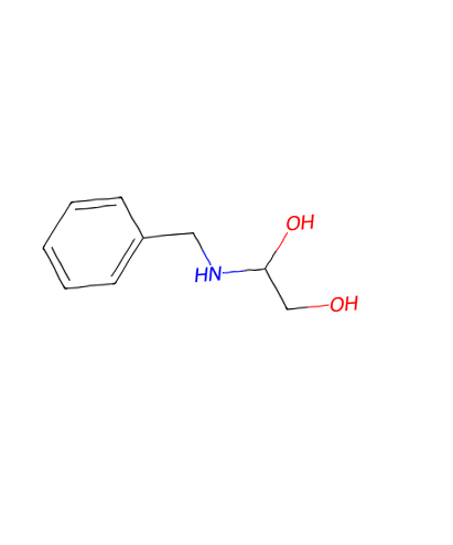 OCC(O)NCc1ccccc1